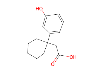 O=C(O)CC1(c2cccc(O)c2)CCCCC1